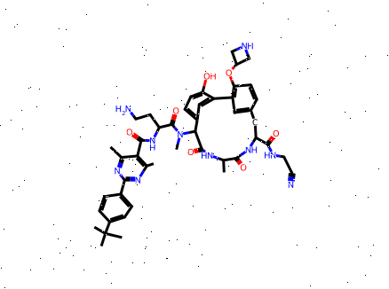 Cc1nc(-c2ccc(C(C)(C)C)cc2)nc(C)c1C(=O)NC(CCN)C(=O)N(C)C1C(=O)NC(C)C(=O)NC(C(=O)NCC#N)Cc2ccc(OC3CNC3)c(c2)-c2cc1ccc2O